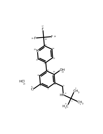 CC(C)(C)NCc1cc(Cl)cc(-c2ccc(C(F)(F)F)nc2)c1O.Cl